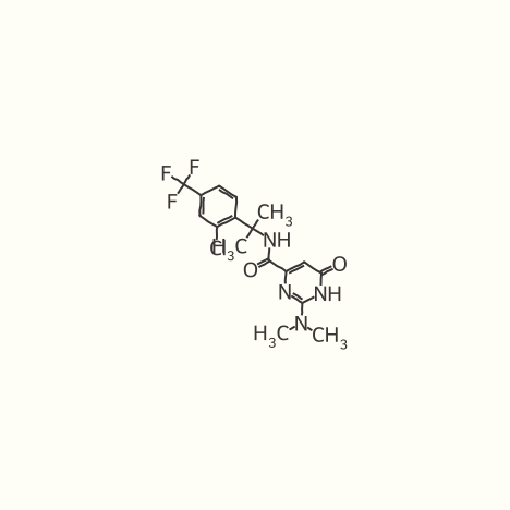 CN(C)c1nc(C(=O)NC(C)(C)c2ccc(C(F)(F)F)cc2Cl)cc(=O)[nH]1